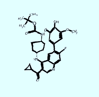 COc1cc(-c2cc3c(N[C@H]4CC[C@H](NC(=O)OC(C)(C)C)CC4)c(C(=O)C4CC4)cnc3cc2F)cc(Cl)c1O